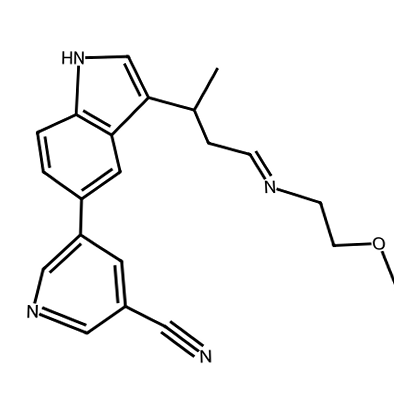 COCCN=CCC(C)c1c[nH]c2ccc(-c3cncc(C#N)c3)cc12